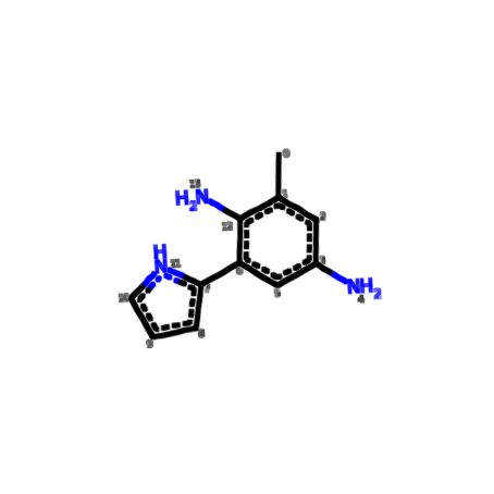 Cc1cc(N)cc(-c2ccc[nH]2)c1N